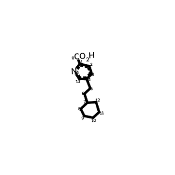 O=C(O)c1ccc(CCC2CCCCC2)cn1